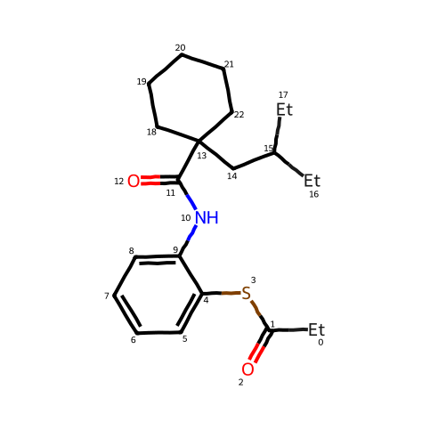 CCC(=O)Sc1ccccc1NC(=O)C1(CC(CC)CC)CCCCC1